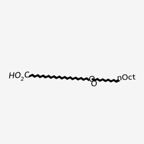 CCCCCCCC/C=C\CCCCCCCC(=O)OCCCCCCCCCCCCCCCCCCCCCCCC(=O)O